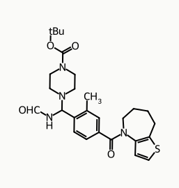 Cc1cc(C(=O)N2CCCCc3sccc32)ccc1C(NC=O)N1CCN(C(=O)OC(C)(C)C)CC1